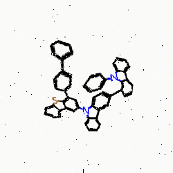 c1ccc(-c2ccc(-c3cc(-n4c5ccccc5c5cc(-c6cccc7c8ccccc8n(-c8ccccc8)c67)ccc54)cc4c3sc3ccccc34)cc2)cc1